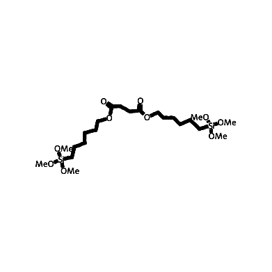 CO[Si](CCCCCCOC(=O)CCC(=O)OCCCCCC[Si](OC)(OC)OC)(OC)OC